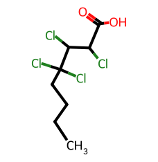 CCCCC(Cl)(Cl)C(Cl)C(Cl)C(=O)O